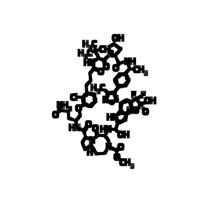 COC(=O)N1CC[C@H]2CC[C@@H](C(=O)N[C@@H](CCC(N)=O)COc3cccc(CCCC(=O)N[C@H](C(=O)N4C[C@H](O)C[C@H]4C(=O)N[C@@H](C)c4ccc(-c5scnc5C)cc4)C(C)(C)C)c3Cl)N2C(=O)[C@@H](NC(O)c2cc3cc(C(F)(F)P(=O)(O)O)ccc3[nH]2)C1